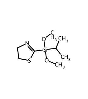 CO[Si](OC)(C1=NCCS1)C(C)C